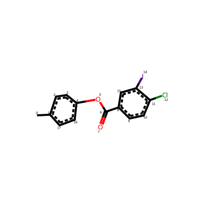 Cc1ccc(OC(=O)c2ccc(Cl)c(I)c2)cc1